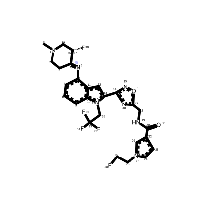 CN1CC/C(=N\c2cccc3c2cc(-c2noc(CNC(=O)c4ccn(CCF)c4)n2)n3CC(F)(F)F)[C@@H](F)C1